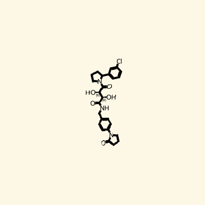 O=C(NCc1ccc(N2CCCC2=O)cc1)[C@H](O)[C@@H](O)C(=O)N1CCCC1c1cccc(Cl)c1